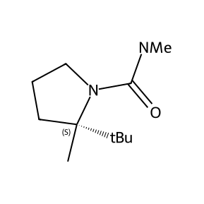 CNC(=O)N1CCC[C@@]1(C)C(C)(C)C